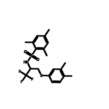 Cc1cc(C)c(S(=O)(=O)NC(CSc2ccc(C)c(C)c2)C(F)(F)F)c(C)c1